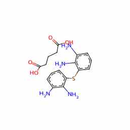 Nc1cccc(Sc2cccc(N)c2N)c1N.O=C(O)CCCC(=O)O